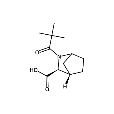 CC(C)(C)C(=O)N1C2CC[C@@H](C2)[C@H]1C(=O)O